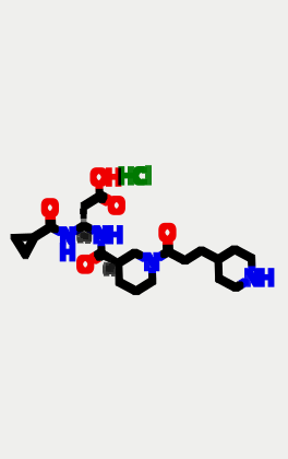 Cl.O=C(O)C[C@@H](NC(=O)C1CC1)NC(=O)[C@@H]1CCCN(C(=O)CCC2CCNCC2)C1